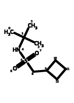 CC(C)(C)NS(=O)(=O)CC1CCC1